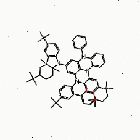 CC(C)(C)c1ccc(N2c3cc4c(cc3B3c5ccccc5N(c5ccccc5)c5cc(N6c7ccc(C(C)(C)C)cc7C7(C)CC(C(C)(C)C)CCC67C)cc2c53)C(C)(C)CCC4(C)C)c(-c2ccccc2)c1